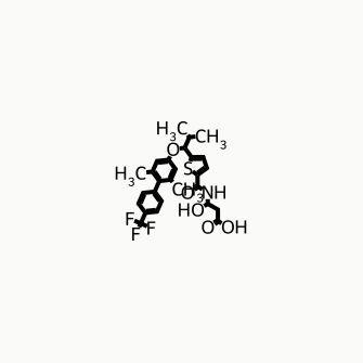 Cc1cc(OC(c2ccc(C(=O)NC(O)CC(=O)O)s2)C(C)C)cc(C)c1-c1ccc(C(F)(F)F)cc1